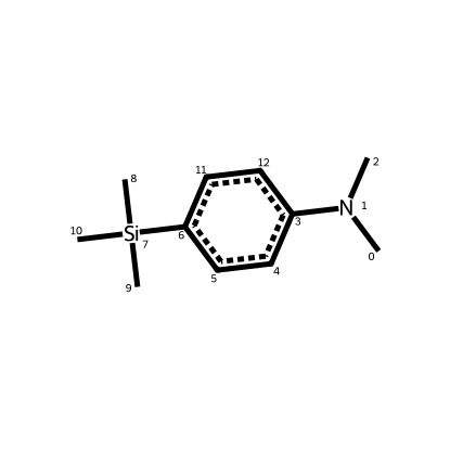 CN(C)c1ccc([Si](C)(C)C)cc1